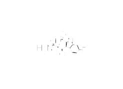 COC(=O)c1c(C(=O)C(C)(C)C(N)=O)c2ccc(F)cc2n1C